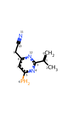 C=C(C)c1nc(P)cc(CC#N)n1